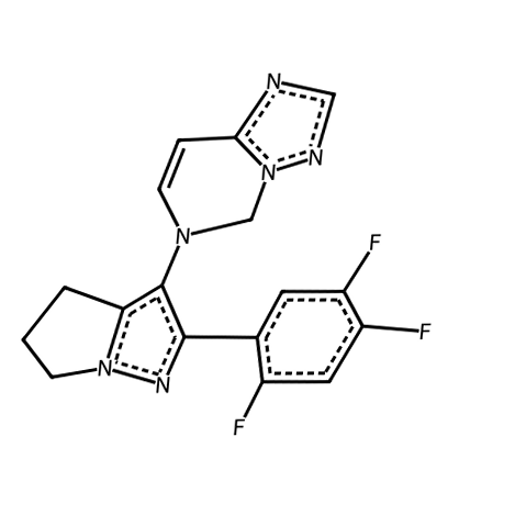 Fc1cc(F)c(-c2nn3c(c2N2C=Cc4ncnn4C2)CCC3)cc1F